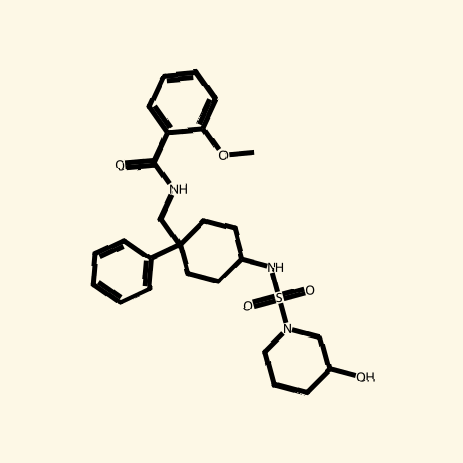 COc1ccccc1C(=O)NCC1(c2ccccc2)CCC(NS(=O)(=O)N2CCCC(O)C2)CC1